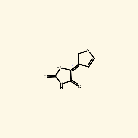 O=C1NC(=O)/C(=C2\C=CSC2)N1